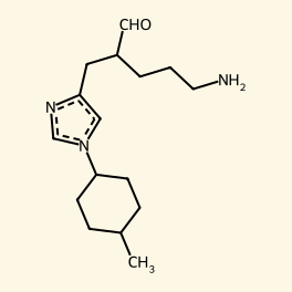 CC1CCC(n2cnc(CC(C=O)CCCN)c2)CC1